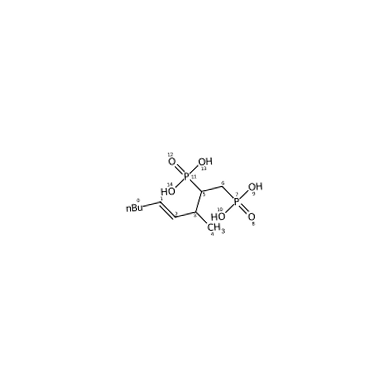 CCCC/C=C/C(C)C(CP(=O)(O)O)P(=O)(O)O